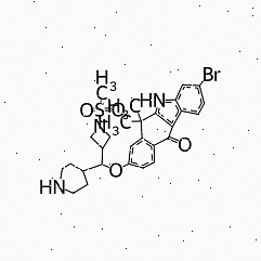 CC1(C)c2cc(OC(C3CCNCC3)C3CN(S(C)(=O)=O)C3)ccc2C(=O)c2c1[nH]c1cc(Br)ccc21